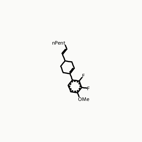 CCCCC/C=C/C1CC=C(c2ccc(OC)c(F)c2F)CC1